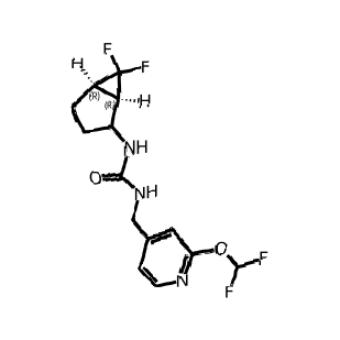 O=C(NCc1ccnc(OC(F)F)c1)NC1CC[C@@H]2[C@H]1C2(F)F